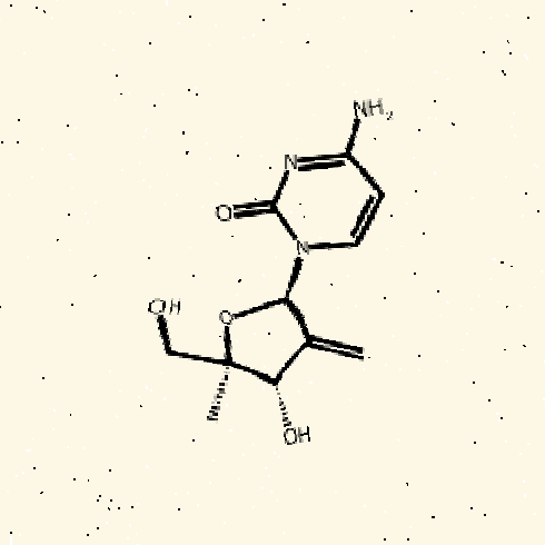 C=C1[C@H](n2ccc(N)nc2=O)O[C@](C)(CO)[C@H]1O